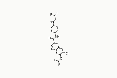 O=C(N[C@H]1CC[C@H](NCC(F)F)CC1)c1cnc2cc(OC(F)F)c(Cl)cc2c1